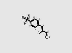 C/C(C=O)=C\c1ccc(C(F)(F)F)cc1